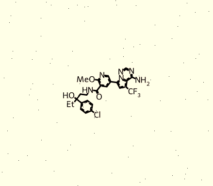 CCC(O)(CCNC(=O)c1cc(-c2cc(C(F)(F)F)c3c(N)ncnn23)cnc1OC)c1ccc(Cl)cc1